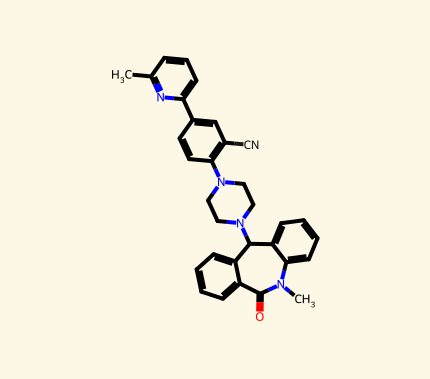 Cc1cccc(-c2ccc(N3CCN(C4c5ccccc5C(=O)N(C)c5ccccc54)CC3)c(C#N)c2)n1